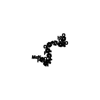 CNc1cc(=O)n(-c2ccnc3c2cc([C@H](C)N2CC=C(c4c(C)cc(C(=O)N5CCC(CN6CCN(c7ccc8c(c7)n(C7CCC(=O)NC7=O)c(=O)n8C)CC6)CC5)cc4F)CC2)n3C)cc1F